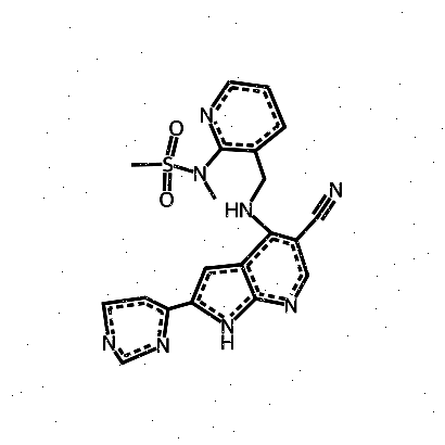 CN(c1ncccc1CNc1c(C#N)cnc2[nH]c(-c3ccncn3)cc12)S(C)(=O)=O